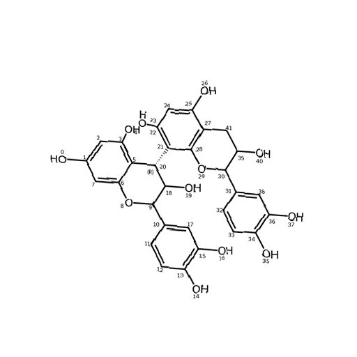 Oc1cc(O)c2c(c1)OC(c1ccc(O)c(O)c1)C(O)[C@H]2c1c(O)cc(O)c2c1OC(c1ccc(O)c(O)c1)C(O)C2